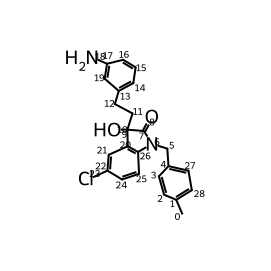 Cc1ccc(CN2C(=O)C(O)(CCc3cccc(N)c3)c3cc(Cl)ccc32)cc1